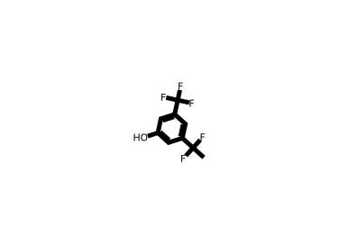 CC(F)(F)c1cc(O)cc(C(F)(F)F)c1